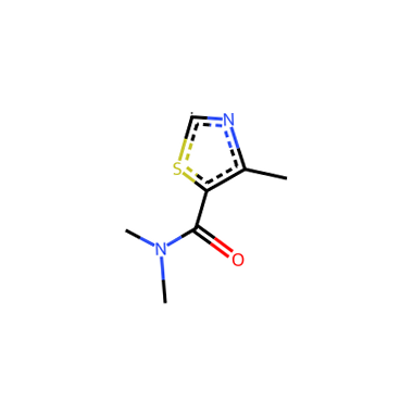 Cc1n[c]sc1C(=O)N(C)C